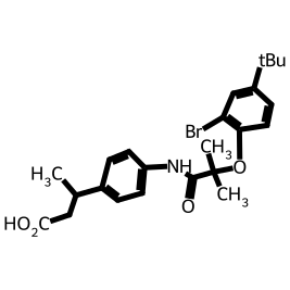 CC(CC(=O)O)c1ccc(NC(=O)C(C)(C)Oc2ccc(C(C)(C)C)cc2Br)cc1